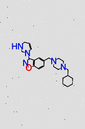 C1=CN(c2noc3ccc(CN4CCN(CC5CCCCC5)CC4)cc23)CNC1